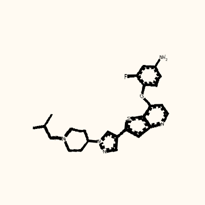 C[C](C)CN1CCC(n2cc(-c3cc4nccc(Oc5ccc(N)cc5F)c4s3)cn2)CC1